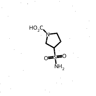 NS(=O)(=O)C1CCN(C(=O)O)C1